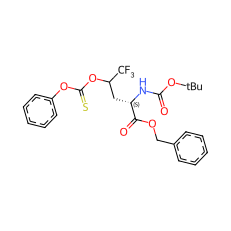 CC(C)(C)OC(=O)N[C@@H](CC(OC(=S)Oc1ccccc1)C(F)(F)F)C(=O)OCc1ccccc1